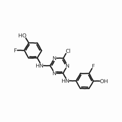 Oc1ccc(Nc2nc(Cl)nc(Nc3ccc(O)c(F)c3)n2)cc1F